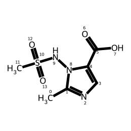 Cc1ncc(C(=O)O)n1NS(C)(=O)=O